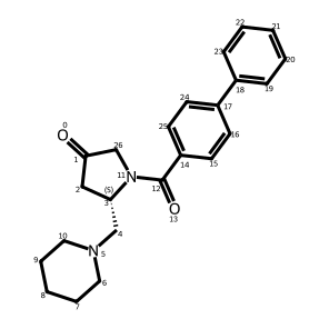 O=C1C[C@@H](CN2CCCCC2)N(C(=O)c2ccc(-c3ccccc3)cc2)C1